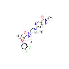 CCCC1CC(NC(=O)C(C)(C)Oc2ccc(F)c(F)c2)CCN1c1ccc(C(=O)NC(C)C)cn1